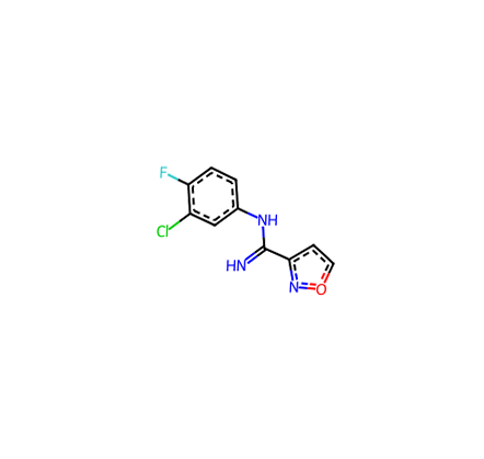 N=C(Nc1ccc(F)c(Cl)c1)c1ccon1